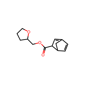 O=C(OCC1CCCO1)C1C=C2C=CC1C2